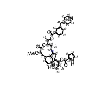 CO[C@H]1CC2C=C[C@@H]3C[C@]2(O[C@H]3[C@H](OC(=O)c2ccc[nH]2)[C@H](C)[C@H](C)O)/C(C)=C/[C@@H](C)[C@@H]([C@@H](C)OC(=O)c2cccc(C[N+]34CCN(CC3)CC4)c2)OC1=O